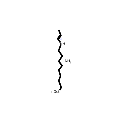 C/C=C/NCCCCCCCCCCCCCCCC.N